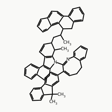 CC(CC1C=Cc2c(n(C3=N/c4ccccc4CC/C=C\3c3ccc4c(c3)C(C)(C)c3ccccc3-4)c3ccc4ccccc4c23)C1C)C1Cc2ccccc2-c2ccc3ccccc3c21